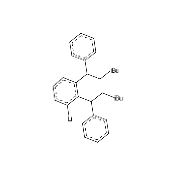 [Li][c]1cccc(C(CC(C)CC)c2ccccc2)c1[C](CC(C)CC)c1ccccc1